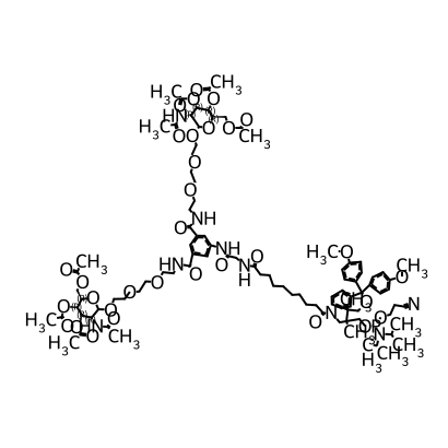 COc1ccc(C(OCC2(C)CN(C(=O)CCCCCCCCC(=O)NCC(=O)Nc3cc(C(=O)NCCOCCOCCOC4O[C@H](COC(C)=O)[C@H](OC(C)=O)[C@H](OC(C)=O)[C@H]4NC(C)=O)cc(C(=O)NCCOCCOCCOC4O[C@H](COC(C)=O)[C@H](OC(C)=O)[C@H](OC(C)=O)[C@H]4NC(C)=O)c3)CC2(C)COP(OCCC#N)N(C(C)C)C(C)C)(c2ccccc2)c2ccc(OC)cc2)cc1